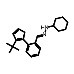 CC(C)(C)C1=C(c2ccccc2C=NNC2CCCCC2)CC=C1